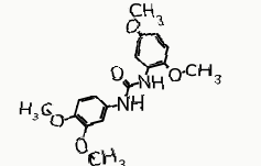 COc1ccc(OC)c(NC(=O)Nc2ccc(OC)c(OC)c2)c1